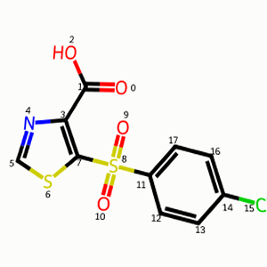 O=C(O)c1ncsc1S(=O)(=O)c1ccc(Cl)cc1